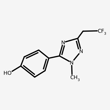 Cn1nc(CC(F)(F)F)nc1-c1ccc(O)cc1